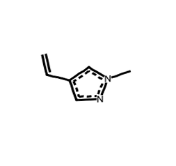 C=Cc1cnn(C)c1